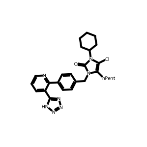 CCCCCc1c(Cl)n(C2CCCCC2)c(=O)n1Cc1ccc(-c2ncccc2-c2nnn[nH]2)cc1